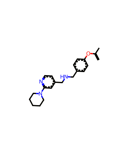 C=C(C)Oc1ccc(CNCc2ccnc(N3CCCCC3)c2)cc1